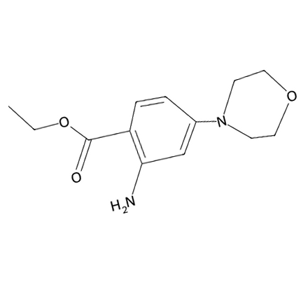 CCOC(=O)c1ccc(N2CCOCC2)cc1N